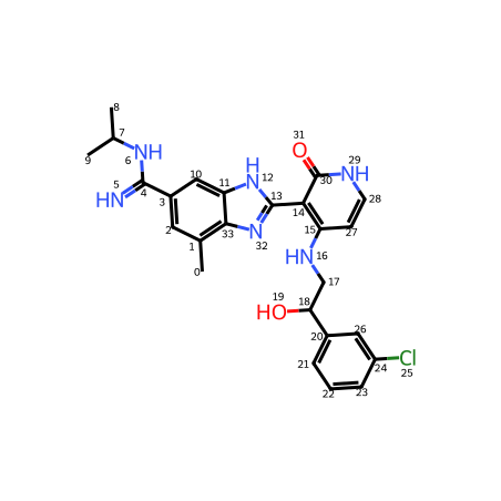 Cc1cc(C(=N)NC(C)C)cc2[nH]c(-c3c(NCC(O)c4cccc(Cl)c4)cc[nH]c3=O)nc12